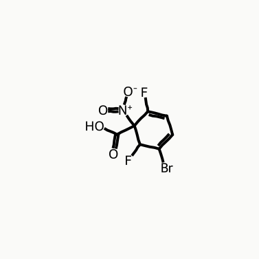 O=C(O)C1([N+](=O)[O-])C(F)=CC=C(Br)C1F